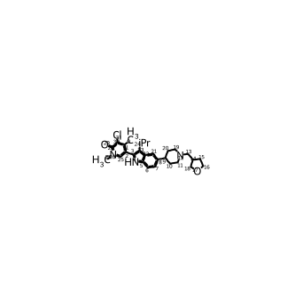 Cc1c(-c2[nH]c3ccc(C4CCN(CC5CCOC5)CC4)cc3c2C(C)C)cn(C)c(=O)c1Cl